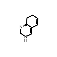 C1=CC2=CNC[N+]=C2CC1